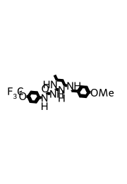 COc1ccc(CNC2CC(C)NC(NC(=O)Nc3ccc(OC(F)(F)F)cc3)N2)cc1